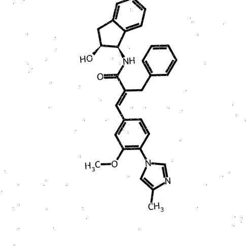 COc1cc(/C=C(\Cc2ccccc2)C(=O)N[C@@H]2c3ccccc3C[C@@H]2O)ccc1-n1cnc(C)c1